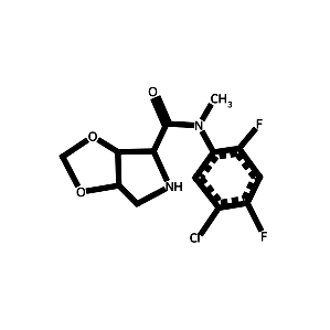 CN(C(=O)C1NCC2OCOC21)c1cc(Cl)c(F)cc1F